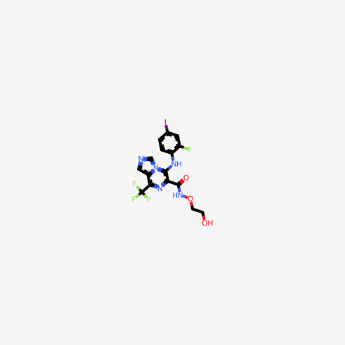 O=C(NOCCO)c1nc(C(F)(F)F)c2cncn2c1Nc1ccc(I)cc1F